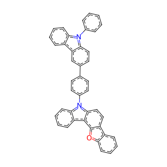 c1ccc(-n2c3ccccc3c3cc(-c4ccc(-n5c6ccccc6c6c7oc8ccccc8c7ccc65)cc4)ccc32)cc1